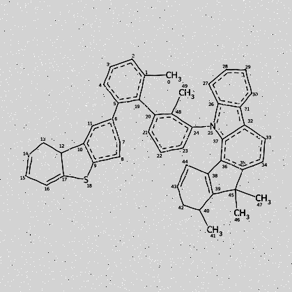 Cc1cccc(-c2ccc3c(c2)C2CC=CC=C2S3)c1-c1cccc(-n2c3ccccc3c3ccc4c(c32)C2=C(C(C)CC=C2)C4(C)C)c1C